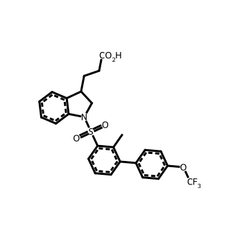 Cc1c(-c2ccc(OC(F)(F)F)cc2)cccc1S(=O)(=O)N1CC(CCC(=O)O)c2ccccc21